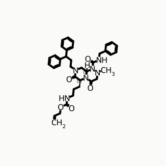 C=CCOC(=O)NCCC[C@H]1C(=O)N(CCC(c2ccccc2)c2ccccc2)C[C@H]2N1C(=O)CN(C)N2C(=O)NCc1ccccc1